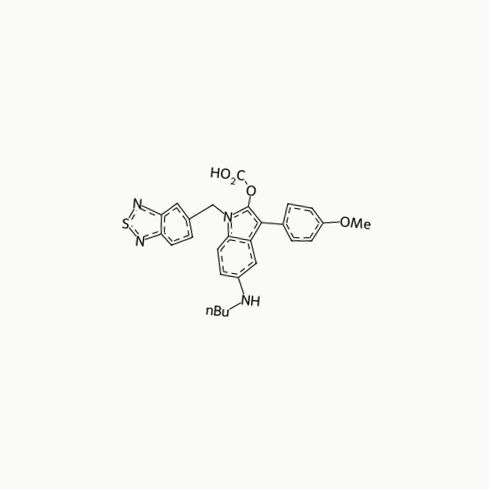 CCCCNc1ccc2c(c1)c(-c1ccc(OC)cc1)c(OC(=O)O)n2Cc1ccc2nsnc2c1